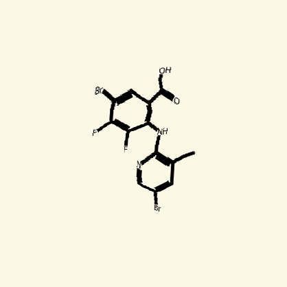 Cc1cc(Br)cnc1Nc1c(C(=O)O)cc(Br)c(F)c1F